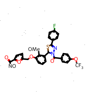 COc1c(OCc2ccc(C(=O)N=O)o2)cccc1C1SC(c2ccc(F)cc2)=NN1C(=O)c1ccc(OC(F)(F)F)cc1